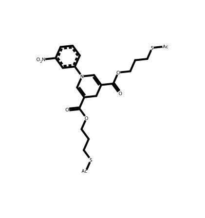 CC(=O)SCCCOC(=O)C1=CN(c2cccc([N+](=O)[O-])c2)C=C(C(=O)OCCCSC(C)=O)C1